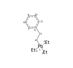 C[CH2][Pb]([CH2]C)([CH2]C)[CH2]Cc1ccccc1